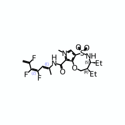 C=C(F)/C(F)=C(F)\C=C(/C)NC(=O)c1c2c(cn1C)S(=O)(=O)N[C@@H](CC)[C@@H](CC)CO2